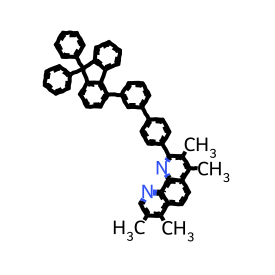 Cc1cnc2c(ccc3c(C)c(C)c(-c4ccc(-c5cccc(-c6cccc7c6-c6ccccc6C7(c6ccccc6)c6ccccc6)c5)cc4)nc32)c1C